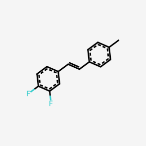 Cc1ccc(C=Cc2ccc(F)c(F)c2)cc1